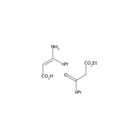 CCC/C(N)=C\C(=O)O.CCCC(=O)CC(=O)OCC